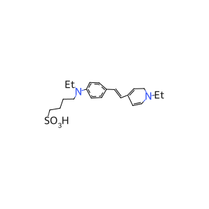 CCN1C=CC(/C=C/c2ccc(N(CC)CCCCS(=O)(=O)O)cc2)=CC1